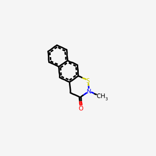 CN1Sc2cc3ccccc3cc2CC1=O